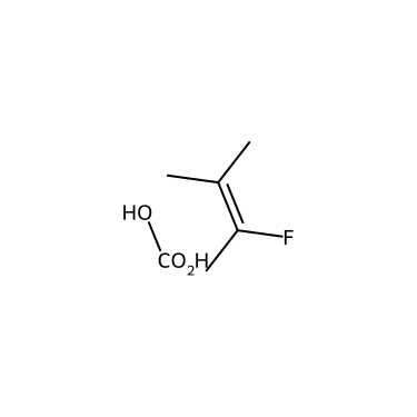 CC(C)=C(C)F.O=C(O)O